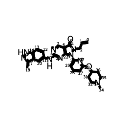 C=CCn1c(=O)c2cnc(Nc3ccc4[nH]nc(C)c4c3)nc2n1-c1cccc(OC2CCN(C)CC2)n1